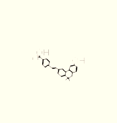 CC1(C)Cc2ccc(O)cc2-c2cc(/C=C/c3ccc(C(=O)O)cc3)ccc21